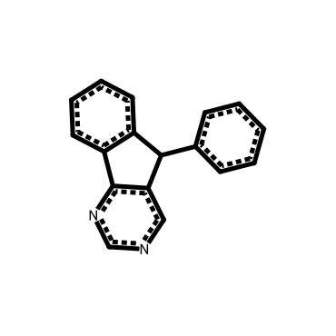 c1ccc(C2c3ccccc3-c3ncncc32)cc1